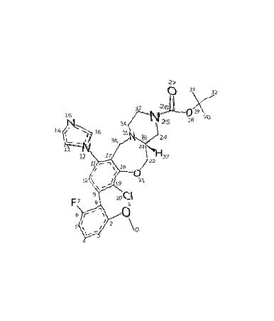 COc1cccc(F)c1-c1cc(-n2ccnc2)c2c(c1Cl)OC[C@H]1CN(C(=O)OC(C)(C)C)CCN1C2